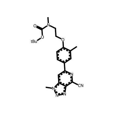 Cc1cc(-c2cc3c(nnn3C)c(C#N)n2)ccc1OCCN(C)C(=O)OC(C)(C)C